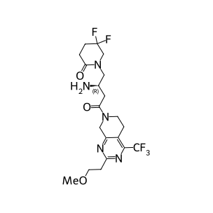 COCCc1nc2c(c(C(F)(F)F)n1)CCN(C(=O)C[C@@H](N)CN1CC(F)(F)CCC1=O)C2